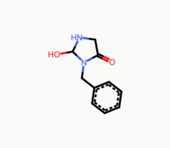 O=C1CNC(O)N1Cc1ccccc1